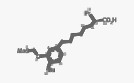 CSCOc1cc(CCCCCC[C@H](C(=O)O)C(C)C)ccc1C(C)(C)C